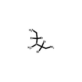 CCC(CC)(CP)N(C)C(CC)(CC)CP